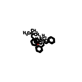 C[Si](C)(C)CC1=CC=[C]([Ti]([CH3])([CH3])([CH3])([CH2]c2ccccc2)([CH2]c2ccccc2)[CH2]c2ccccc2)C1